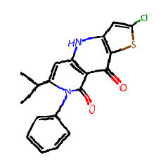 CC(C)c1cc2[nH]c3cc(Cl)sc3c(=O)c2c(=O)n1-c1ccccc1